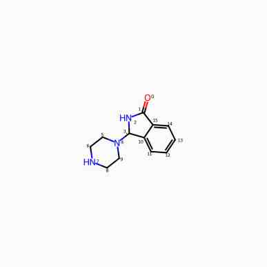 O=C1N[C](N2CCNCC2)c2ccccc21